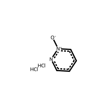 Cl.Cl.[O-][n+]1ccccn1